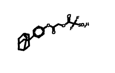 O=C(COC(=O)C(F)(F)S(=O)(=O)O)Oc1ccc(C23CC4CC(CC(C4)C2)C3)cc1